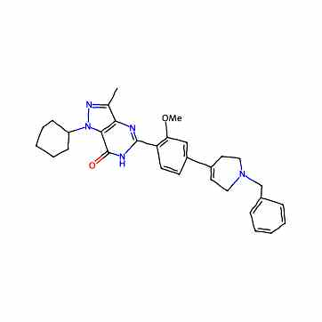 COc1cc(C2=CCN(Cc3ccccc3)CC2)ccc1-c1nc2c(C)nn(C3CCCCC3)c2c(=O)[nH]1